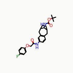 CC(C)(C)OC(=O)NC1C2CCC1Cc1cc(NC(=O)COc3ccc(F)cc3)ccc1C2